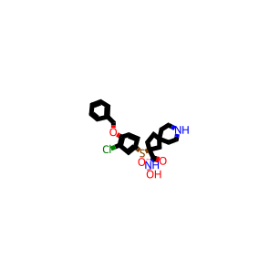 O=C(NO)C1([S+]([O-])c2ccc(OCc3ccccc3)c(Cl)c2)CCC2(CCNCC2)C1